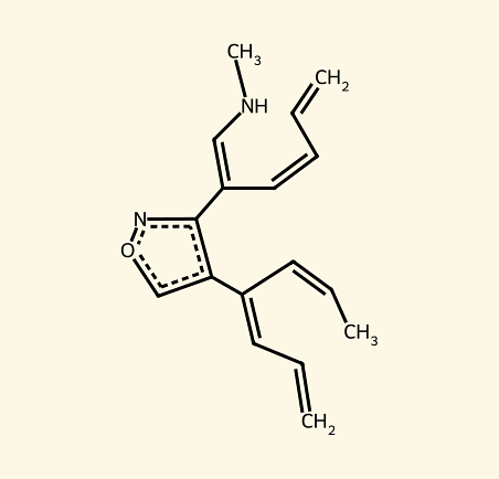 C=C/C=C\C(=C/NC)c1nocc1C(/C=C\C)=C/C=C